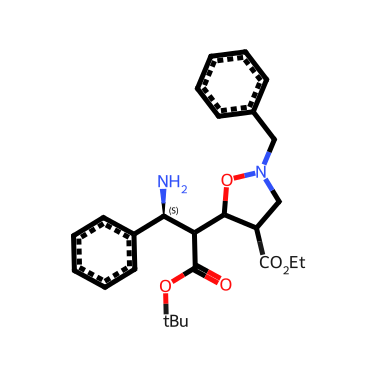 CCOC(=O)C1CN(Cc2ccccc2)OC1C(C(=O)OC(C)(C)C)[C@H](N)c1ccccc1